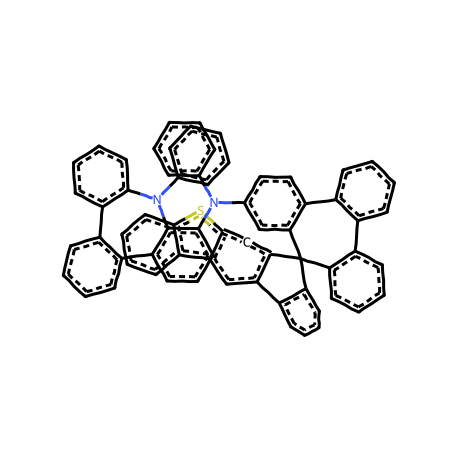 c1ccc(N(c2ccc3c(c2)C2(c4ccccc4-c4ccccc4-3)c3ccccc3-c3cc4c(cc32)sc2ccccc24)c2cccc3c2N(c2ccccc2)c2ccccc2-c2ccccc2-3)cc1